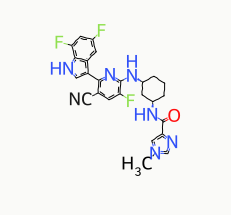 Cn1cnc(C(=O)N[C@@H]2CCC[C@H](Nc3nc(-c4c[nH]c5c(F)cc(F)cc45)c(C#N)cc3F)C2)c1